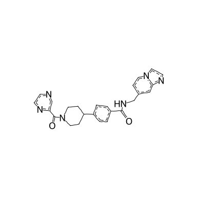 O=C(NCc1ccn2ccnc2c1)c1ccc(C2CCN(C(=O)c3cnccn3)CC2)cc1